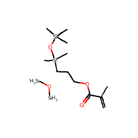 C=C(C)C(=O)OCCC[Si](C)(C)O[Si](C)(C)C.[SiH3]O[SiH3]